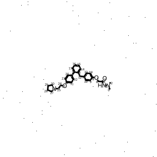 CN(C)NC(=O)COc1ccc(Cc2ccccc2-c2ccc(OCCN3CCCC3)cc2)cc1